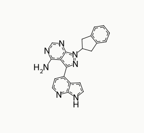 Nc1ncnc2c1c(-c1ccnc3[nH]ccc13)nn2C1Cc2ccccc2C1